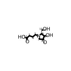 O=C(O)CCCN1CC(=O)C(O)[C@H]1CO